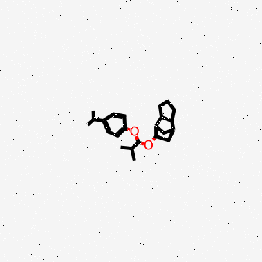 CC(C)c1ccc(OC(OC2CC3CC2C2CCCC32)C(C)C)cc1